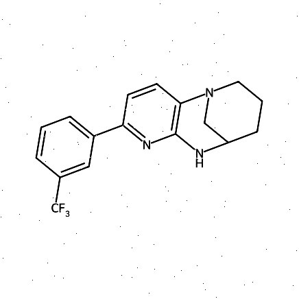 FC(F)(F)c1cccc(-c2ccc3c(n2)NC2CCCN3C2)c1